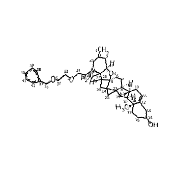 C[C@H]1C[C@H]2O[C@@]34CC[C@H]5[C@@H]6CC=C7C[C@@H](O)CC[C@]7(C)[C@H]6CC56CC63C[C@@H]4[C@]2(N)N(CCOCCOCc2ccccc2)C1